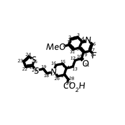 COc1ccc2ncc(F)c(C(=O)CCC3CCN(CCSc4cccs4)CC3CC(=O)O)c2c1